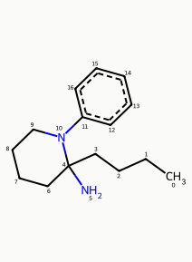 CCCCC1(N)CCCCN1c1ccccc1